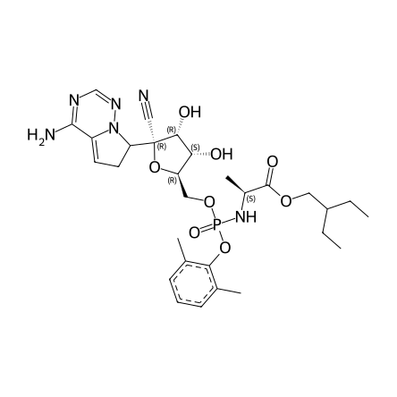 CCC(CC)COC(=O)[C@H](C)NP(=O)(OC[C@H]1O[C@@](C#N)(C2CC=C3C(N)=NC=NN32)[C@H](O)[C@@H]1O)Oc1c(C)cccc1C